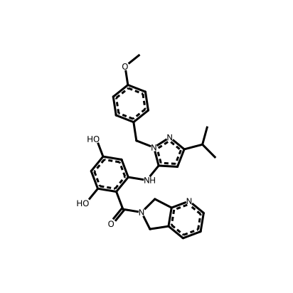 COc1ccc(Cn2nc(C(C)C)cc2Nc2cc(O)cc(O)c2C(=O)N2Cc3cccnc3C2)cc1